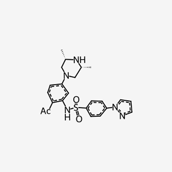 CC(=O)c1ccc(N2C[C@@H](C)N[C@@H](C)C2)cc1NS(=O)(=O)c1ccc(-n2cccn2)cc1